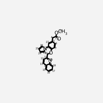 COC(=O)Cc1ccc(OCc2ccc3ccccc3n2)c(-n2cccc2)c1